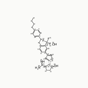 CCCCc1ccc(CCc2ccc(-c3noc([C@@H]4[C@@H](O)CCN4C(=N)N)n3)cc2C(F)(F)F)cc1.Cl